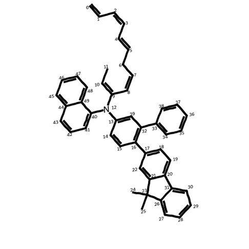 C=C/C=C\C=C\C/C=C\C(=C/C)N(c1ccc(-c2ccc3c(c2)C(C)(C)c2ccccc2-3)c(-c2ccccc2)c1)c1cccc2ccccc12